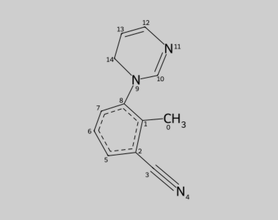 Cc1c(C#N)cccc1N1C=NC=CC1